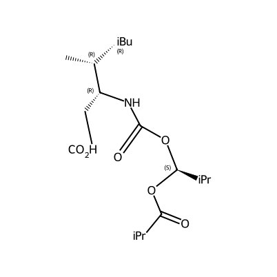 CC[C@@H](C)[C@@H](C)[C@@H](CC(=O)O)NC(=O)O[C@H](OC(=O)C(C)C)C(C)C